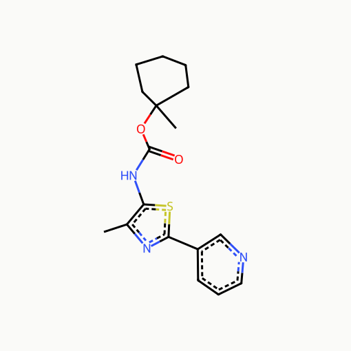 Cc1nc(-c2cccnc2)sc1NC(=O)OC1(C)CCCCC1